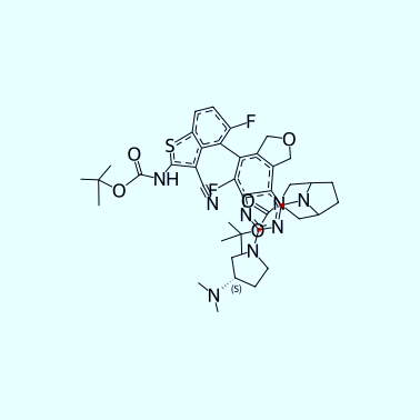 CN(C)[C@H]1CCN(c2nc(N3C4CCC3CN(C(=O)OC(C)(C)C)C4)c3c4c(c(-c5c(F)ccc6sc(NC(=O)OC(C)(C)C)c(C#N)c56)c(F)c3n2)COC4)C1